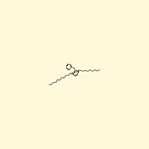 CCCCCCCCCCC[n+]1ccn(CCCCCCCCC)c1Cc1ccccc1